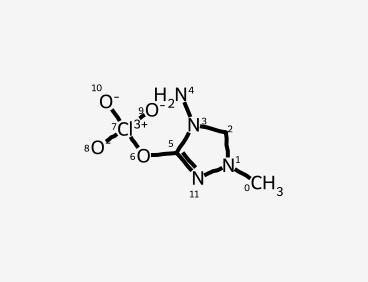 CN1CN(N)C(O[Cl+3]([O-])([O-])[O-])=N1